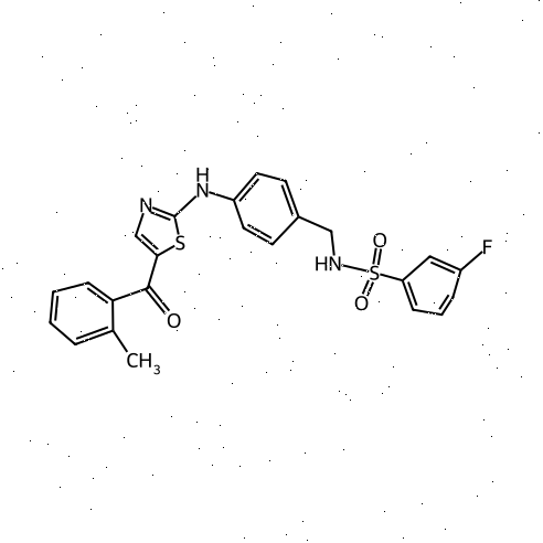 Cc1ccccc1C(=O)c1cnc(Nc2ccc(CNS(=O)(=O)c3cccc(F)c3)cc2)s1